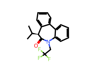 CC(C)[C@@H]1C(=O)N(CC(F)(F)F)c2ccccc2-c2ccccc21